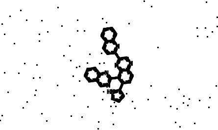 [c]1nc2ccc(-c3ccc[nH]3)c(-c3ncc4ccccc4n3)c2nc1-c1ccc2ccccc2n1